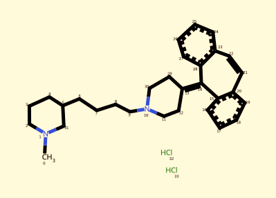 CN1CCCC(CCCCN2CCC(=C3c4ccccc4C=Cc4ccccc43)CC2)C1.Cl.Cl